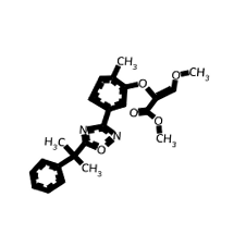 CO/C=C(\Oc1cc(-c2noc(C(C)(C)c3ccccc3)n2)ccc1C)C(=O)OC